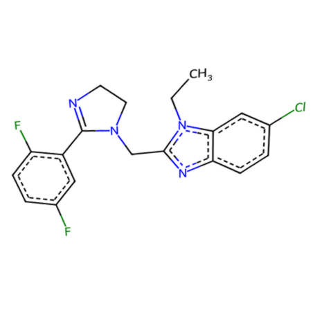 CCn1c(CN2CCN=C2c2cc(F)ccc2F)nc2ccc(Cl)cc21